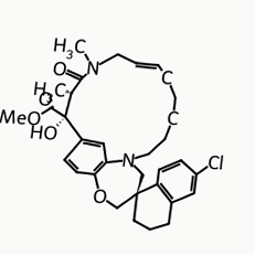 COC(=O)[C@]1(O)c2ccc3c(c2)N(CCCCC/C=C/CN(C)C(=O)[C@H]1C)C[C@@]1(CCCc2cc(Cl)ccc21)CO3